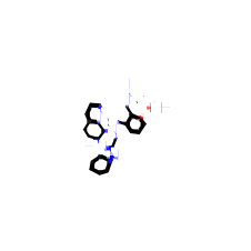 COc1cccc(CN(Cc2nc3ccccc3[nH]2)C2CCCc3cccnc32)c1CN